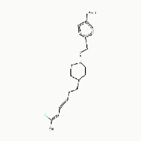 CCCCCc1ccc(CC[C@H]2CC[C@H](CCC=CC=C(F)C#N)CC2)cc1